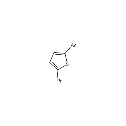 CC(=O)c1ccc(C(C)C)s1